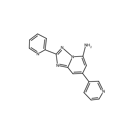 Nc1cc(-c2cccnc2)cc2nc(-c3ccccn3)nn12